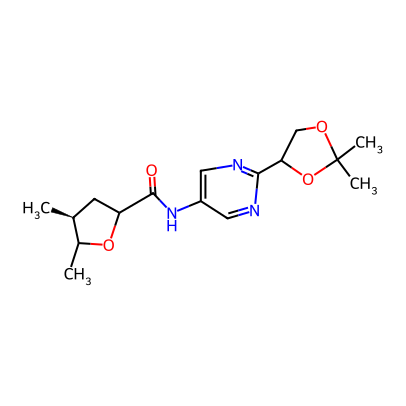 CC1OC(C(=O)Nc2cnc(C3COC(C)(C)O3)nc2)C[C@@H]1C